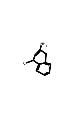 NC1=CC(Cl)c2ccccc2[CH]1